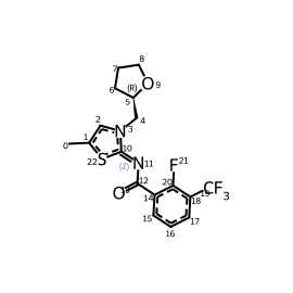 Cc1cn(C[C@H]2CCCO2)/c(=N/C(=O)c2cccc(C(F)(F)F)c2F)s1